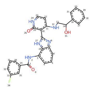 O=C(Nc1cccc2nc(-c3c(NCC(O)c4ccccc4)cc[nH]c3=O)[nH]c12)c1cccc(F)c1